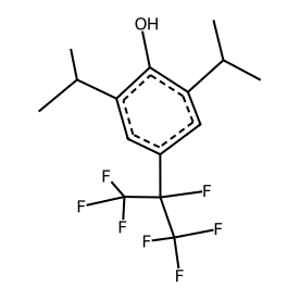 CC(C)c1cc(C(F)(C(F)(F)F)C(F)(F)F)cc(C(C)C)c1O